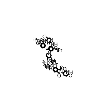 [2H]C1([2H])N(CC2CCN(c3cc(OC(C)C)c(Nc4ncc(Cl)c(Nc5ccccc5S(=O)(=O)C(C)C)n4)cc3C)CC2)C([2H])([2H])C([2H])([2H])N(c2ccc3c(c2F)C(=O)N(C2CCC(=O)NC2=O)C3=O)C1([2H])[2H]